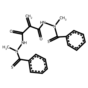 C=C(C(=O)NN(C)C(=S)c1ccccc1)C(=O)NN(C)C(=S)c1ccccc1